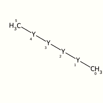 [CH3][Y][Y][Y][Y][CH3]